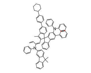 C=C/C(=C\C1=C(C)c2cc(-c3ccc(C4CCCCC4)cc3)ccc2C12c1ccccc1-c1cc(-c3ccccc3)c(N(c3ccccc3)c3ccccc3)cc12)N(c1ccccc1)c1ccc2c(c1)-c1ccccc1C2(C)C